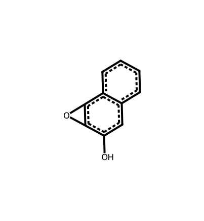 Oc1cc2ccccc2c2c1O2